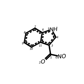 O=NC(=O)c1c[nH]c2ccccc12